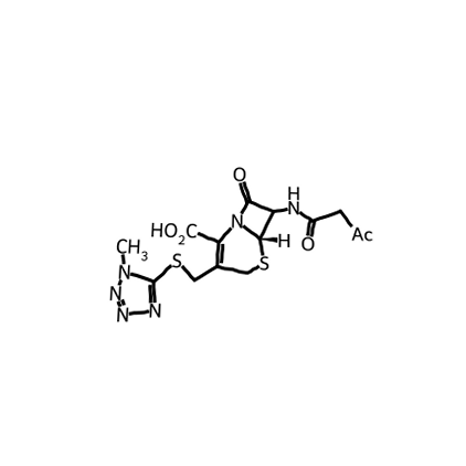 CC(=O)CC(=O)NC1C(=O)N2C(C(=O)O)=C(CSc3nnnn3C)CS[C@@H]12